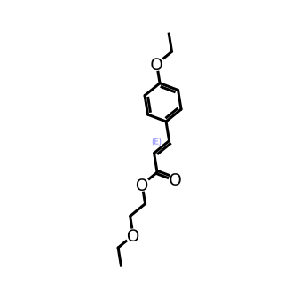 CCOCCOC(=O)/C=C/c1ccc(OCC)cc1